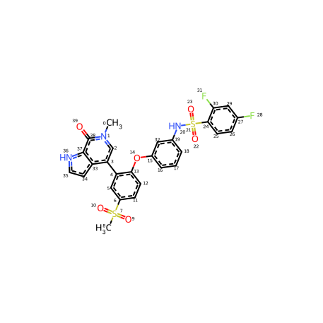 Cn1cc(-c2cc(S(C)(=O)=O)ccc2Oc2cccc(NS(=O)(=O)c3ccc(F)cc3F)c2)c2cc[nH]c2c1=O